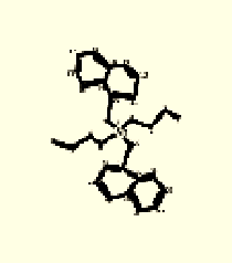 CCC[CH2][Sn]([CH2]CCC)([CH2]c1cccc2ccccc12)[CH2]c1cccc2ccccc12